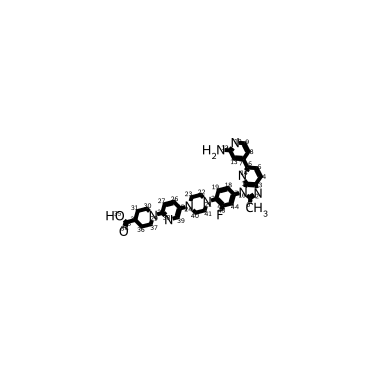 Cc1nc2ccc(-c3ccnc(N)c3)nc2n1-c1ccc(N2CCN(c3ccc(N4CCC(C(=O)O)CC4)nc3)CC2)c(F)c1